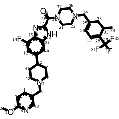 COc1ccc(CN2CCC(c3cc(F)c4nc(C(=O)N5CCN(CC6=CC=C(C(F)(F)F)C(C)C6)CC5)[nH]c4c3)CC2)cn1